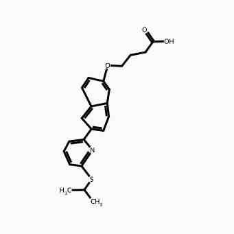 CC(C)Sc1cccc(-c2ccc3cc(OCCCC(=O)O)ccc3c2)n1